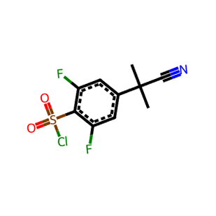 CC(C)(C#N)c1cc(F)c(S(=O)(=O)Cl)c(F)c1